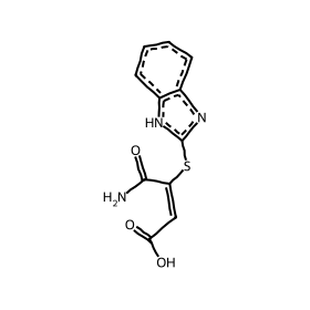 NC(=O)C(=CC(=O)O)Sc1nc2ccccc2[nH]1